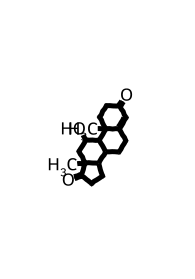 CC12CC(O)C3C(CCC4=CC(=O)CCC43C)C1CCC2=O